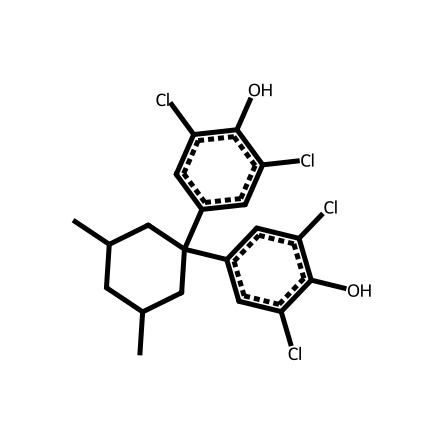 CC1CC(C)CC(c2cc(Cl)c(O)c(Cl)c2)(c2cc(Cl)c(O)c(Cl)c2)C1